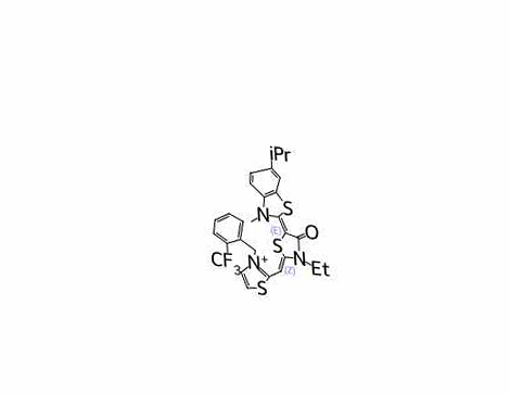 CCn1c(=O)/c(=C2\Sc3cc(C(C)C)ccc3N2C)s/c1=C\c1scc[n+]1Cc1ccccc1C(F)(F)F